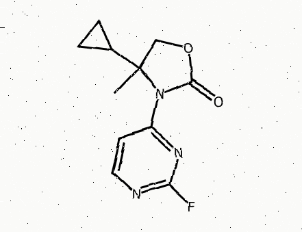 CC1(C2CC2)COC(=O)N1c1ccnc(F)n1